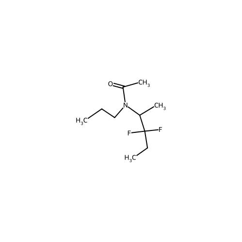 CCCN(C(C)=O)C(C)C(F)(F)CC